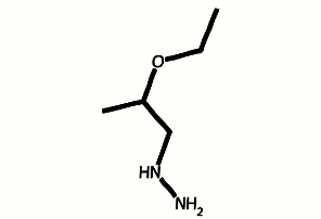 CCOC(C)CNN